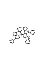 c1ccc(-c2ccc(N(c3ccccc3-c3ccccc3)c3cc4c5ccccc5oc4c4c3c3ccccc3n4-c3ccccc3)cc2)cc1